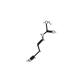 CC(=O)OC=CCC#N